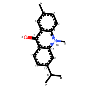 Cc1ccc2c(c1)c(=O)c1ccc(C(C)C)cc1n2C